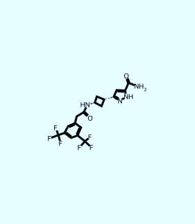 NC(=O)c1cc([C@H]2C[C@@H](NC(=O)Cc3cc(C(F)(F)F)cc(C(F)(F)F)c3)C2)n[nH]1